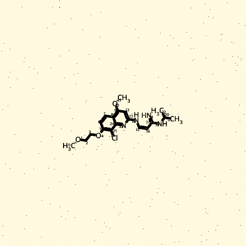 COCCOc1ccc2c(OC)cc(N/C=C\C(=N)NC(C)C)nc2c1Cl